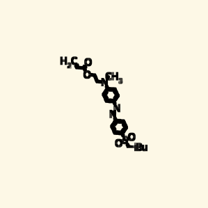 C=CC(=O)OCCN(C)c1ccc(/N=N/c2ccc(S(=O)(=O)C[C@H](C)CC)cc2)cc1